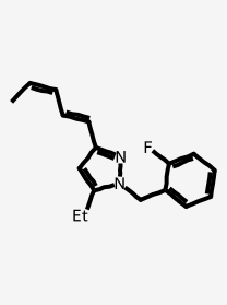 C/C=C\C=C\c1cc(CC)n(Cc2ccccc2F)n1